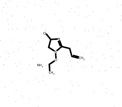 C=CCC1=NC(Cl)CN1OCC.N